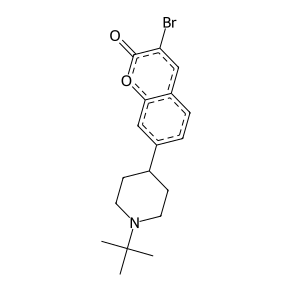 CC(C)(C)N1CCC(c2ccc3cc(Br)c(=O)oc3c2)CC1